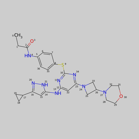 CCC(=O)Nc1ccc(Sc2nc(Nc3cc(C4CC4)n[nH]3)cc(N3CC(N4CCOCC4)C3)n2)cc1